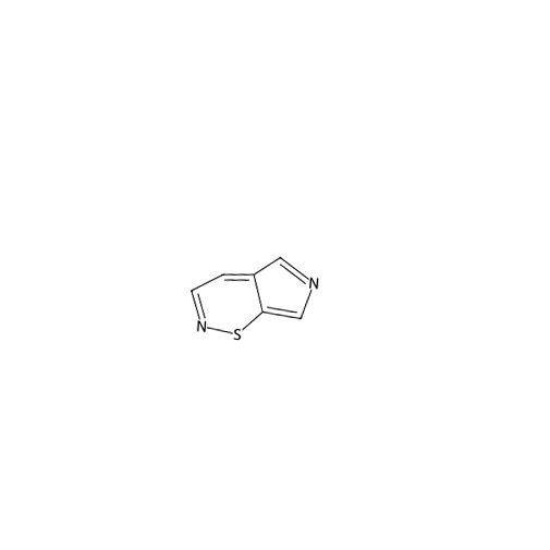 c1cc2cncc-2sn1